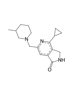 CC1CCCN(Cc2cc3c(c(C4CC4)n2)CNC3=O)C1